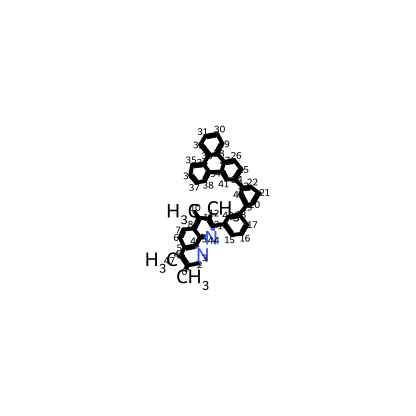 Cc1cnc2c(ccc3c(C)c(C)c(-c4cccc(-c5cccc(-c6ccc7c8ccccc8c8ccccc8c7c6)c5)c4)nc32)c1C